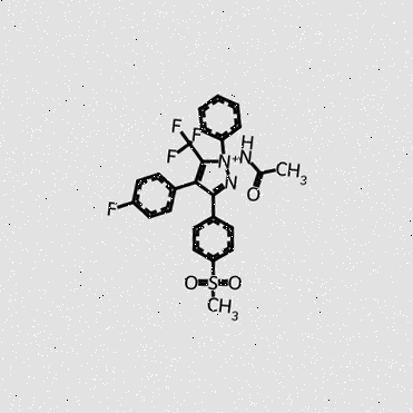 CC(=O)N[N+]1(c2ccccc2)N=C(c2ccc(S(C)(=O)=O)cc2)C(c2ccc(F)cc2)=C1C(F)(F)F